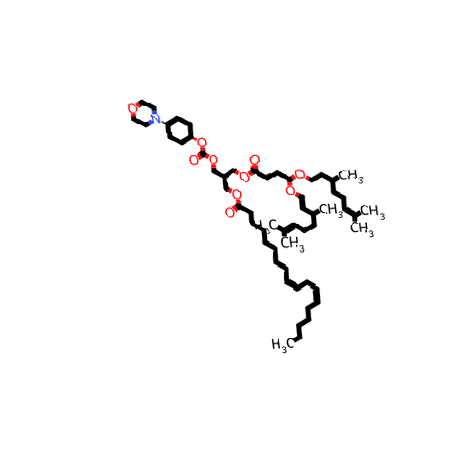 CCCCC/C=C\C/C=C\CCCCCCCC(=O)OCC(COC(=O)CCC(OCCC(C)CCC=C(C)C)OCCC(C)CCC=C(C)C)COC(=O)O[C@H]1CC[C@H](N2CCOCC2)CC1